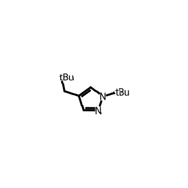 CC(C)(C)Cc1cnn(C(C)(C)C)c1